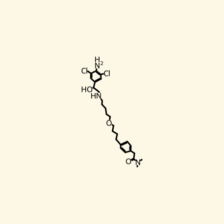 CN(C)C(=O)Cc1ccc(CCCCOCCCCCNCC(O)c2cc(Cl)c(N)c(Cl)c2)cc1